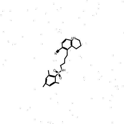 Cc1cc(C)c(S(=O)(=O)NCCCCc2c(C#N)ccc3c2CCCN3)c(C)c1